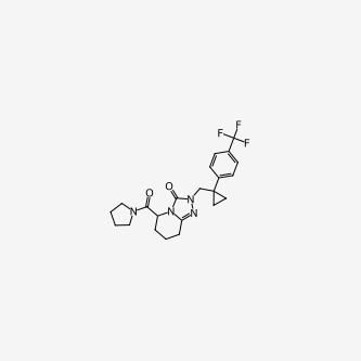 O=C(C1CCCc2nn(CC3(c4ccc(C(F)(F)F)cc4)CC3)c(=O)n21)N1CCCC1